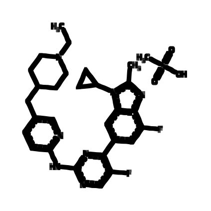 CCN1CCC(Cc2ccc(Nc3ncc(F)c(-c4cc(F)c5nc(C)n(C6CC6)c5c4)n3)nc2)CC1.CS(=O)(=O)O